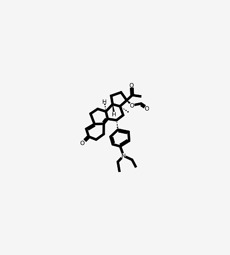 CCN(CC)c1ccc([C@H]2C[C@@]3(C)[C@@H](CC[C@]3(OC=O)C(C)=O)[C@@H]3CCC4=CC(=O)CCC4=C32)cc1